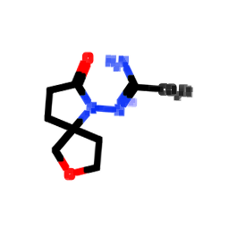 CCOC(=O)/C(N)=N/N1C(=O)CCC12CCOC2